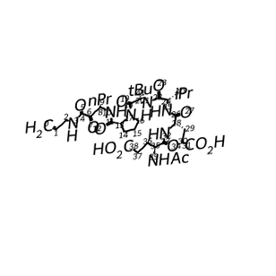 C=CCNC(=O)C(=O)C(CCC)NC(=O)[C@@H]1CCCN1C(=O)[C@@H](NC(=O)[C@@H](NC(=O)[C@H](CCC(=O)O)NC(=O)[C@H](CCC(=O)O)NC(C)=O)C(C)C)C(C)(C)C